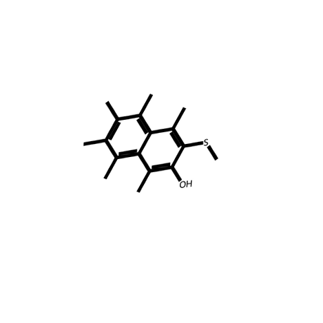 CSc1c(O)c(C)c2c(C)c(C)c(C)c(C)c2c1C